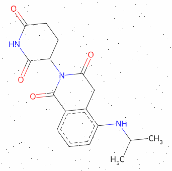 CC(C)Nc1cccc2c1CC(=O)N(C1CCC(=O)NC1=O)C2=O